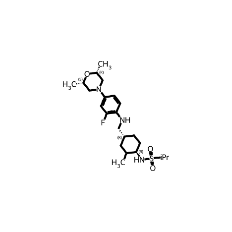 CC1C[C@H](CNc2ccc(N3C[C@@H](C)O[C@@H](C)C3)cc2F)CC[C@H]1NS(=O)(=O)C(C)C